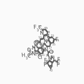 Cn1nc(N[S+](C)[O-])c2c(Cl)ccc(-n3c(C(Cc4cc(F)cc(F)c4)NC(=O)Cn4nc(C(F)F)c5c4C(F)(F)C4CC54)nc(-c4cccc(C(F)(F)F)n4)cc3=O)c21